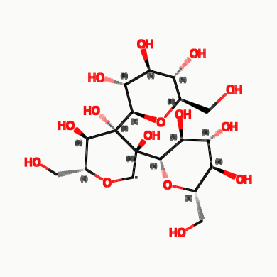 OC[C@@H]1O[C@H]([C@]2(O)[CH]O[C@H](CO)[C@@H](O)[C@@]2(O)[C@@H]2O[C@H](CO)[C@@H](O)[C@H](O)[C@H]2O)[C@@H](O)[C@H](O)[C@H]1O